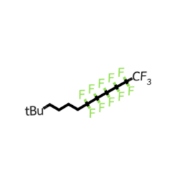 CC(C)(C)CCCCC(F)(F)C(F)(F)C(F)(F)C(F)(F)C(F)(F)C(F)(F)F